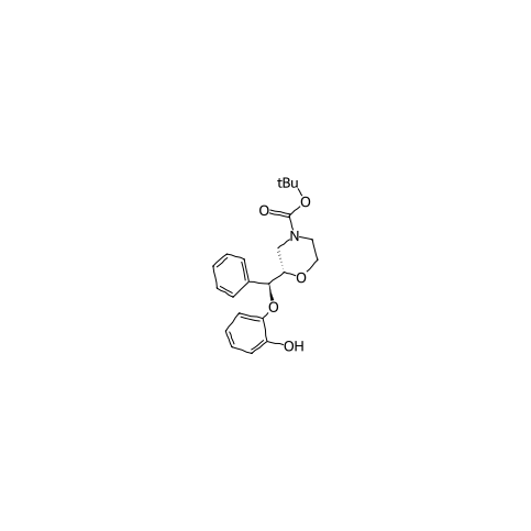 CC(C)(C)OC(=O)N1CCO[C@H]([C@@H](Oc2ccccc2O)c2ccccc2)C1